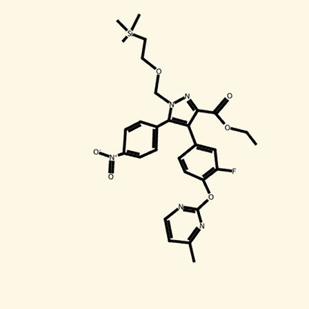 CCOC(=O)c1nn(COCC[Si](C)(C)C)c(-c2ccc([N+](=O)[O-])cc2)c1-c1ccc(Oc2nccc(C)n2)c(F)c1